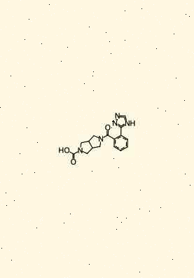 O=C(O)N1CC2CN(C(=O)c3ccccc3-c3nnc[nH]3)CC2C1